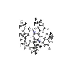 C/C(c1cc(C(F)(F)F)cc(C(F)(F)F)c1)=c1/cc(-c2cc(C(F)(F)F)cc(C(F)(F)F)c2)/c(=C(/c2cc(C)cc(C(F)(F)F)c2)C(F)(F)F)cc1-c1cc(C)cc(C(F)(F)F)c1